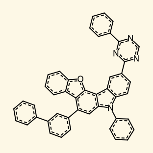 c1ccc(-c2cccc(-c3cc4c(c5cc(-c6ncnc(-c7ccccc7)n6)ccc5n4-c4ccccc4)c4oc5ccccc5c34)c2)cc1